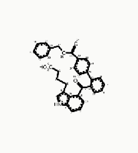 O=C(O)CCCc1c[nH]c2cccc(C(=O)c3ccccc3-c3ccc(C(=O)OCc4ccccc4)cc3)c12